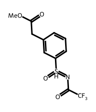 COC(=O)Cc1cccc(/[SH](=O)=N/C(=O)C(F)(F)F)c1